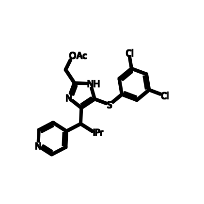 CC(=O)OCc1nc(C(c2ccncc2)C(C)C)c(Sc2cc(Cl)cc(Cl)c2)[nH]1